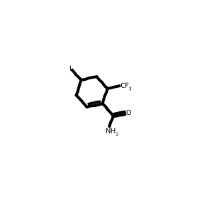 NC(=O)C1=CCC(I)CC1C(F)(F)F